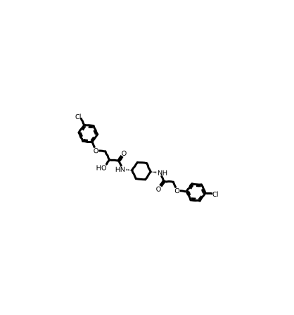 O=C(COc1ccc(Cl)cc1)N[C@H]1CC[C@@H](NC(=O)C(O)COc2ccc(Cl)cc2)CC1